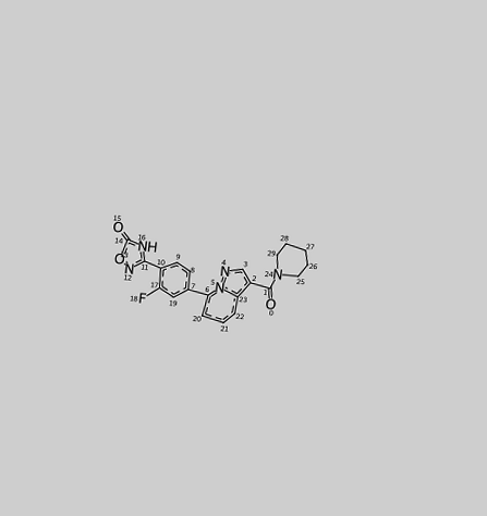 O=C(c1cnn2c(-c3ccc(-c4noc(=O)[nH]4)c(F)c3)cccc12)N1CCCCC1